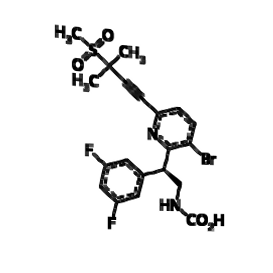 CC(C)(C#Cc1ccc(Br)c([C@@H](CNC(=O)O)c2cc(F)cc(F)c2)n1)S(C)(=O)=O